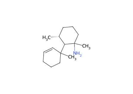 C[C@@H]1CCCC(C)(N)C1C1(C)C=CCCC1